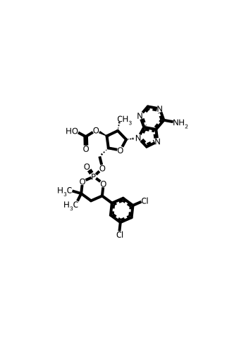 C[C@H]1[C@H](OC(=O)O)[C@@H](COP2(=O)OC(c3cc(Cl)cc(Cl)c3)CC(C)(C)O2)O[C@H]1n1cnc2c(N)ncnc21